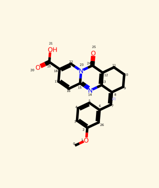 COc1cccc(/C=C2/CCCc3c2nc2ccc(C(=O)O)cn2c3=O)c1